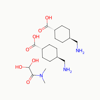 CN(C)C(=O)C(O)O.NC[C@H]1CC[C@H](C(=O)O)CC1.NC[C@H]1CC[C@H](C(=O)O)CC1